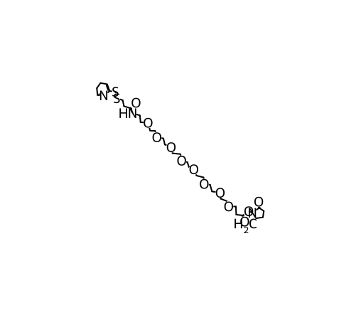 C=C1CCC(=O)N1OC(=O)CCOCCOCCOCCOCCOCCOCCOCCOCCNC(=O)CCSSC1=CCCC=N1